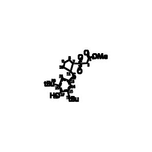 COC(=O)CS(=O)(=O)C1CCCC1Sc1cc(C(C)(C)C)c(O)c(C(C)(C)C)c1